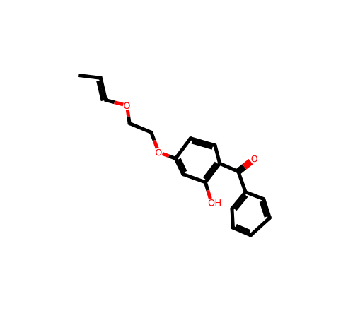 CC=COCCOc1ccc(C(=O)c2ccccc2)c(O)c1